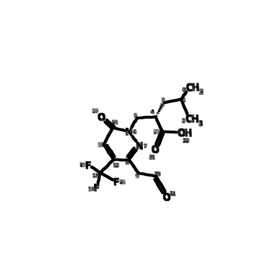 CC(C)C[C@@H](Cn1nc(CC=O)c(C(F)(F)F)cc1=O)C(=O)O